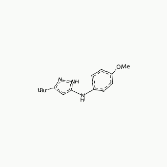 COc1ccc(Nc2cc(C(C)(C)C)n[nH]2)cc1